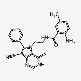 Cc1ccc(N)c(C(=O)NCCn2c(-c3ccccc3)c(C#N)c3nc[nH]c(=S)c32)c1